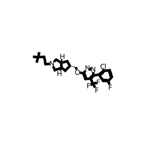 CC(C)(C)CCN1C[C@H]2C[C@@H](COc3cc(C(F)(F)F)c(-c4cc(F)ccc4Cl)nn3)C[C@H]2C1